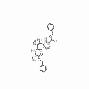 CC(C)C[C@H](NC(=O)c1nc[nH]c1C(=O)N[C@@H](CC(C)C)C(=O)OCc1ccccc1)C(=O)OCc1ccccc1